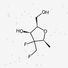 C[C@@H]1O[C@H](CO)[C@H](O)C1(F)CF